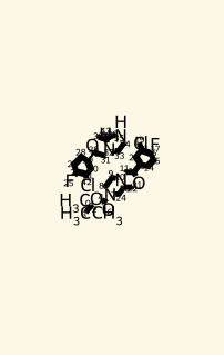 CC(C)(C)OC(=O)N1CCN2CC(c3ccc(F)c(Cl)c3)OCC2C1.Fc1ccc([C@@H]2CN3CCNC[C@H]3CO2)cc1Cl